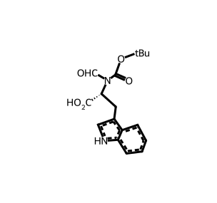 CC(C)(C)OC(=O)N(C=O)[C@H](Cc1c[nH]c2ccccc12)C(=O)O